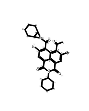 CC(=O)c1c(Br)cc2c3c(cc(Br)c(C(=O)N4C5CCCCC54)c13)C(=O)N(C1CCCCC1)C2=O